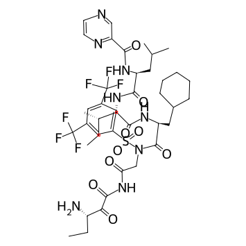 CC[C@H](N)C(=O)C(=O)NC(=O)CN(C(=O)[C@H](CC1CCCCC1)NC(=O)[C@@H](NC(=O)[C@H](CC(C)C)NC(=O)c1cnccn1)[C@@H](C)CC)S(=O)(=O)c1cc(C(F)(F)F)cc(C(F)(F)F)c1